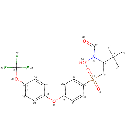 CC(C)(C)C(CS(=O)(=O)c1ccc(Oc2ccc(OC(F)(F)F)cc2)cc1)N(O)C=O